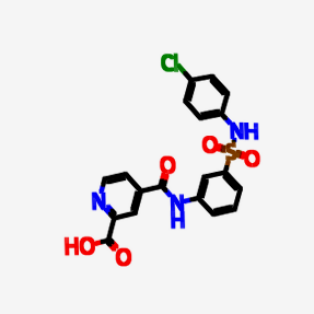 O=C(Nc1cccc(S(=O)(=O)Nc2ccc(Cl)cc2)c1)c1ccnc(C(=O)O)c1